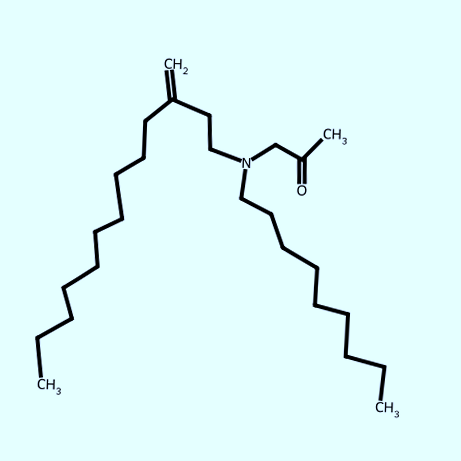 C=C(CCCCCCCCCC)CCN(CCCCCCCCC)CC(C)=O